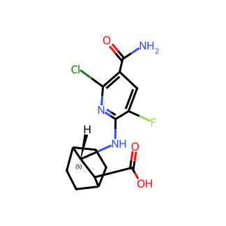 NC(=O)c1cc(F)c(N[C@H]2C3CCC(CC3)C2C(=O)O)nc1Cl